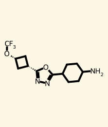 NC1CCC(c2nnc([C@H]3C[C@@H](OC(F)(F)F)C3)o2)CC1